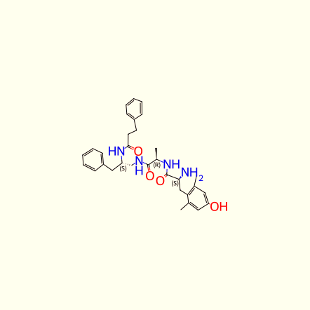 Cc1cc(O)cc(C)c1C[C@H](N)C(=O)N[C@H](C)C(=O)NC[C@H](Cc1ccccc1)NC(=O)CCc1ccccc1